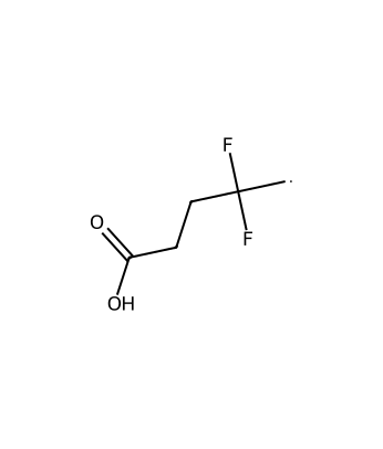 [CH2]C(F)(F)CCC(=O)O